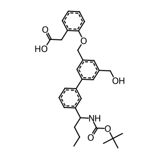 CCCC(NC(=O)OC(C)(C)C)c1cccc(-c2cc(CO)cc(COc3ccccc3CC(=O)O)c2)c1